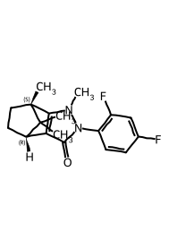 Cn1c2c(c(=O)n1-c1ccc(F)cc1F)[C@@H]1CC[C@@]2(C)C1(C)C